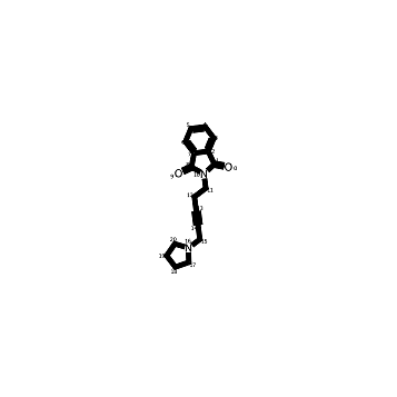 O=C1c2ccccc2C(=O)N1CCC#CCN1CCCC1